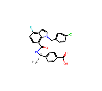 C[C@H](NC(=O)c1ccc(F)c2ccn(Cc3ccc(Cl)cc3)c12)c1ccc(C(=O)O)cc1